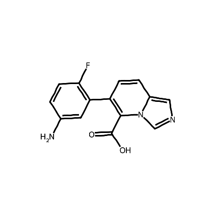 Nc1ccc(F)c(-c2ccc3cncn3c2C(=O)O)c1